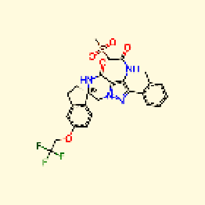 Cc1ccccc1-c1nn2c(c1NC(=O)CS(C)(=O)=O)C(=O)N[C@@]1(CCc3cc(OCC(F)(F)F)ccc31)C2